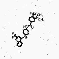 CN(C)c1cc(C(=O)NC2CCC(Nc3cc(C(F)(F)F)nc4ccccc34)CC2)ccc1C(F)(F)F